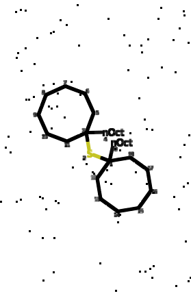 CCCCCCCCC1(SC2(CCCCCCCC)CCCCCCC2)CCCCCCC1